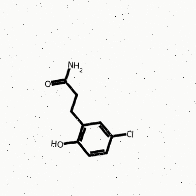 NC(=O)CCc1cc(Cl)ccc1O